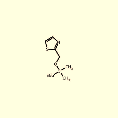 CCCC[Si](C)(C)OCc1nccs1